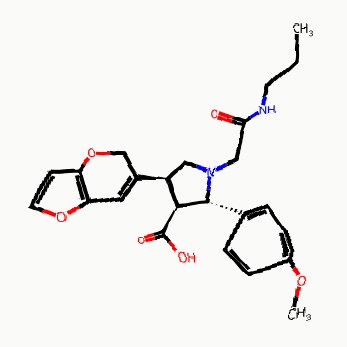 CCCNC(=O)CN1C[C@H](C2=Cc3occc3OC2)[C@H](C(=O)O)[C@H]1c1ccc(OC)cc1